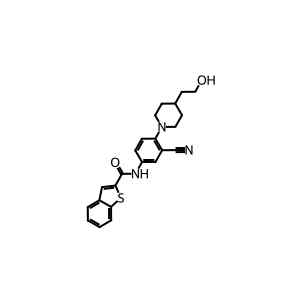 N#Cc1cc(NC(=O)c2cc3ccccc3s2)ccc1N1CCC(CCO)CC1